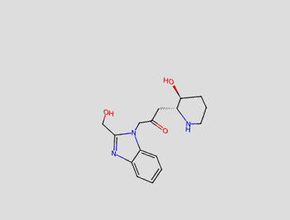 O=C(C[C@H]1NCCC[C@@H]1O)Cn1c(CO)nc2ccccc21